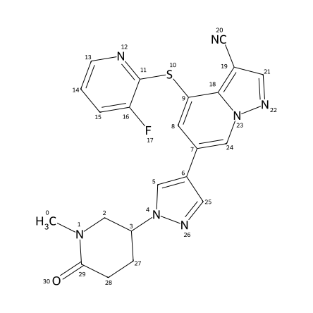 CN1CC(n2cc(-c3cc(Sc4ncccc4F)c4c(C#N)cnn4c3)cn2)CCC1=O